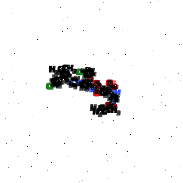 CC1(C)CCC(CN2CCN(c3ccc(C(=O)NS(=O)(=O)c4ccc(N[C@@H]5CCN(C(=O)OC(C)(C)C)C5)c([N+](=O)[O-])c4)c(Oc4cccc(Cl)c4)c3)CC2)=C(c2ccc(Cl)cc2)C1